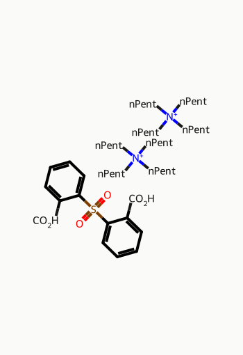 CCCCC[N+](CCCCC)(CCCCC)CCCCC.CCCCC[N+](CCCCC)(CCCCC)CCCCC.O=C(O)c1ccccc1S(=O)(=O)c1ccccc1C(=O)O